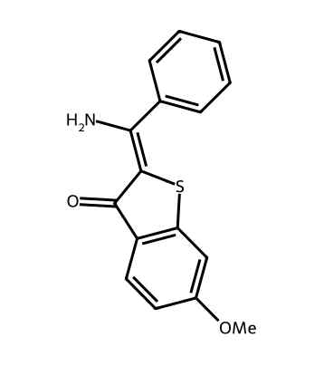 COc1ccc2c(c1)S/C(=C(/N)c1ccccc1)C2=O